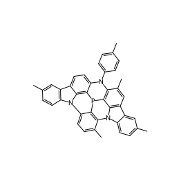 Cc1ccc(-n2c3ccc4c5cc(C)ccc5n5c6ccc(C)c7c6-p(c3c45)c3c2c(C)cc2c4cc(C)ccc4n7c23)cc1